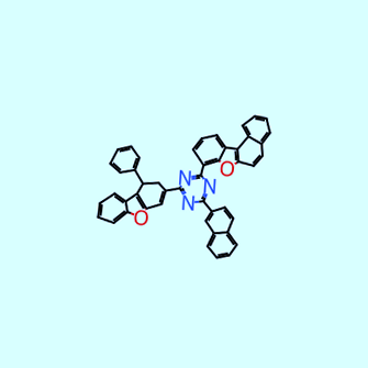 C1=C(c2nc(-c3ccc4ccccc4c3)nc(-c3cccc4c3oc3ccc5ccccc5c34)n2)CC(c2ccccc2)c2c1oc1ccccc21